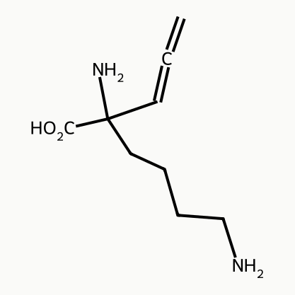 C=C=CC(N)(CCCCN)C(=O)O